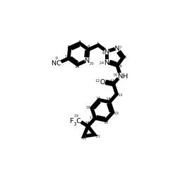 N#Cc1ccc(Cn2ncc(NC(=O)Cc3ccc(C4(C(F)(F)F)CC4)cc3)n2)nc1